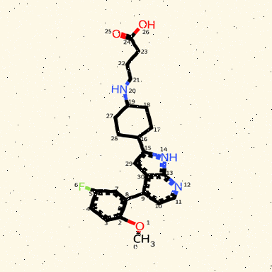 COc1ccc(F)cc1-c1ccnc2[nH]c(C3CCC(NCCCC(=O)O)CC3)cc12